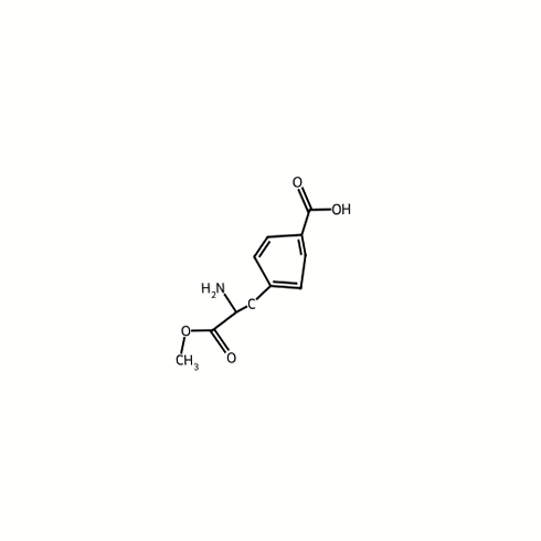 COC(=O)C(N)Cc1ccc(C(=O)O)cc1